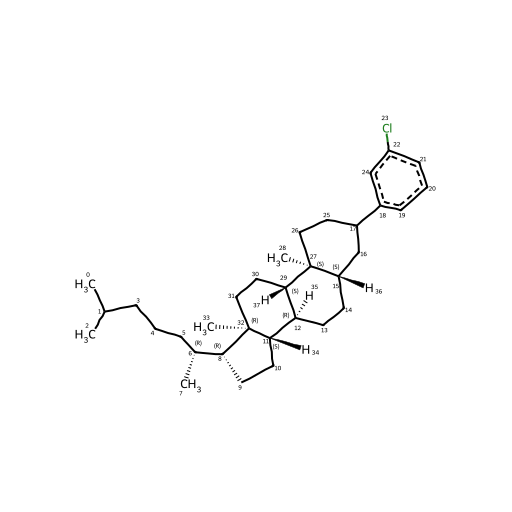 CC(C)CCC[C@@H](C)[C@H]1CC[C@H]2[C@@H]3CC[C@H]4CC(c5cccc(Cl)c5)CC[C@]4(C)[C@H]3CC[C@]12C